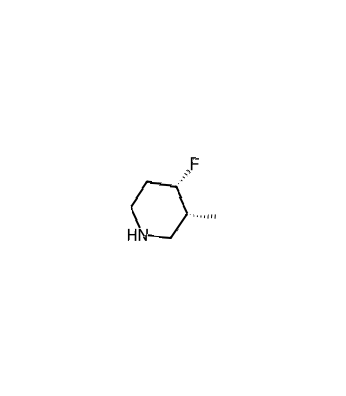 C[C@@H]1CNCC[C@@H]1F